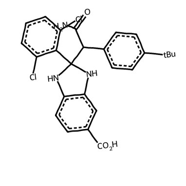 CC(C)(C)c1ccc(C(C(N)=O)C2(c3c(Cl)cccc3Cl)Nc3ccc(C(=O)O)cc3N2)cc1